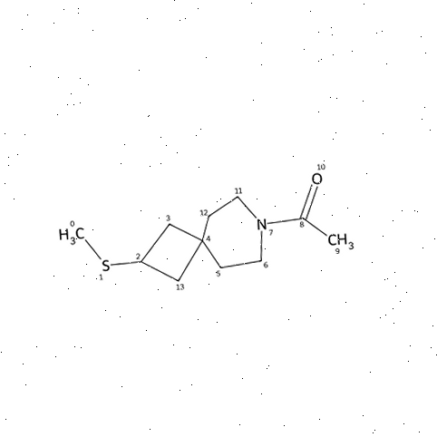 CSC1CC2(CCN(C(C)=O)CC2)C1